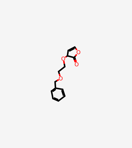 O=C1OC=CC1OCCOCc1ccccc1